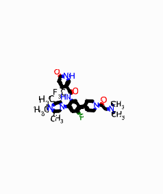 C[C@@H]1CN(c2cc(F)c(C3=CCN(C(=O)CN(C)C)CC3)cc2NC(=O)c2c[nH]c(=O)cc2C(F)(F)F)C[C@H](C)N1C